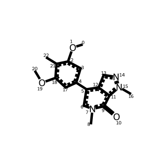 COc1cc(-c2cn(C)c(=O)c3c2cnn3C)cc(OC)c1C